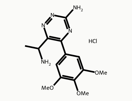 COc1cc(-c2nc(N)nnc2C(C)N)cc(OC)c1OC.Cl